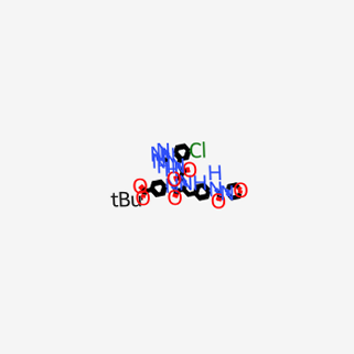 CC(C)(C)OC(=O)c1ccc(NC(=O)C(Cc2ccc(NC(=O)N3CCOCC3)cc2)NC(=O)C(=O)Nc2cc(Cl)ccc2-n2cnnn2)cc1